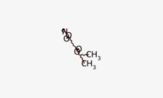 CCCCCC(CCCCC)CCOC(=O)CCCCCCCCC(=O)OCCN1CCCC1